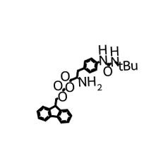 CC(C)(C)NC(=O)Nc1ccc(C[C@H](N)C(=O)OC(=O)OCC2c3ccccc3-c3ccccc32)cc1